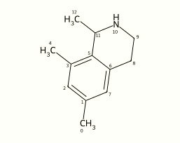 Cc1cc(C)c2c(c1)CCNC2C